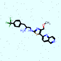 COCc1nc(NCC(N)Cc2ccc(C(F)(F)F)cc2)sc1-c1ccc2cnccc2n1